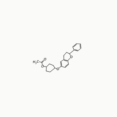 CC(=O)OC1CCC(Oc2ccc3c(c2)CCC(c2ccccc2)O3)CC1